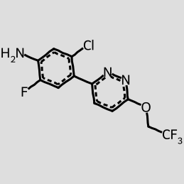 Nc1cc(Cl)c(-c2ccc(OCC(F)(F)F)nn2)cc1F